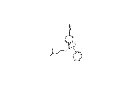 CN(C)CCCn1c(-c2ccccc2)cc2cc(C#N)ccc21